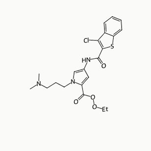 CCOOC(=O)c1cc(NC(=O)c2sc3ccccc3c2Cl)cn1CCCN(C)C